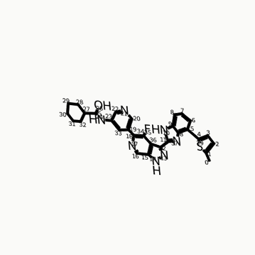 Cc1ccc(-c2cccc3[nH]c(-c4n[nH]c5cnc(-c6cncc(NC(O)C7CCCCC7)c6)c(F)c45)nc23)s1